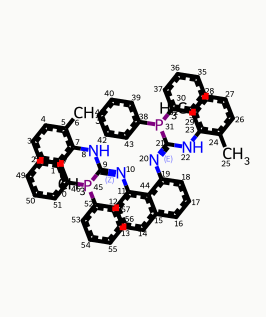 Cc1cccc(C)c1N/C(=N/c1cccc2cccc(/N=C(\Nc3c(C)cccc3C)P(c3ccccc3)c3ccccc3)c12)P(c1ccccc1)c1ccccc1